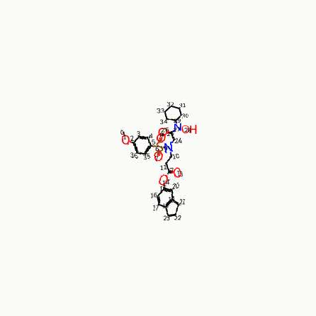 COc1ccc(S(=O)(=O)N(CCC(=O)Oc2ccc3c(c2)CCC3)CC(=O)N(O)C2CCCCC2)cc1